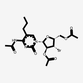 CCCc1cn([C@@H]2O[C@H](COC(C)=O)[C@H](Br)[C@H]2OC(C)=O)c(=O)nc1NC(C)=O